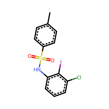 Cc1ccc(S(=O)(=O)Nc2cccc(Cl)c2I)cc1